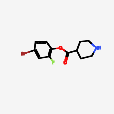 O=C(Oc1ccc(Br)cc1F)C1CCNCC1